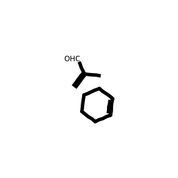 C1=CCCCC1.C=C(C)C=O